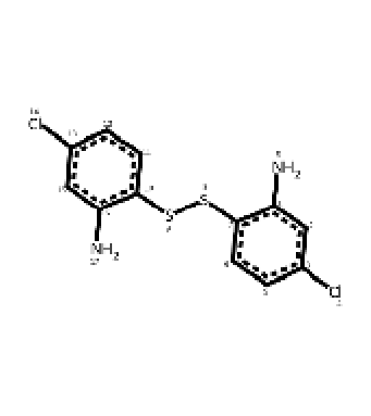 Nc1cc(Cl)ccc1SSc1ccc(Cl)cc1N